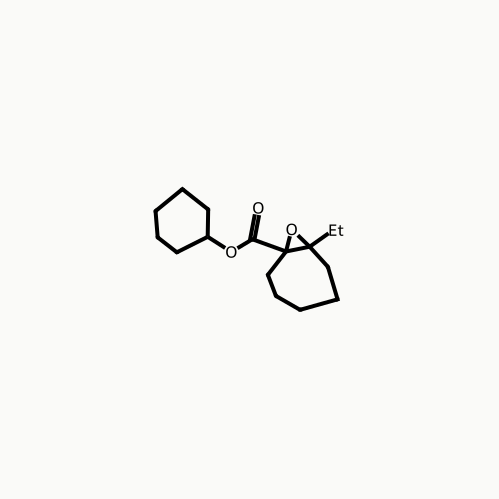 CCC12CCCCCC1(C(=O)OC1CCCCC1)O2